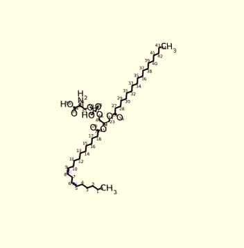 CCCCC/C=C\C/C=C\CCCCCCCCCC(=O)O[C@H](COC(=O)CCCCCCCCCCCCCCCCCC)COP(=O)(O)OC[C@H](N)C(=O)O